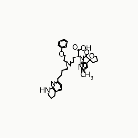 Cn1cc(C2(C(=O)N[C@@H](CCN(CCCCc3ccc4c(n3)NCCC4)CCOc3ccccc3)C(=O)O)CCCO2)cn1